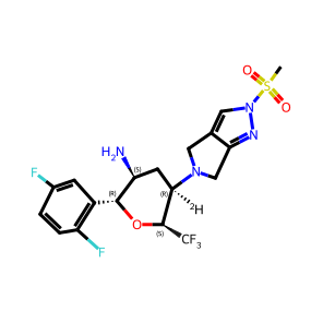 [2H][C@@]1(N2Cc3cn(S(C)(=O)=O)nc3C2)C[C@H](N)[C@@H](c2cc(F)ccc2F)O[C@@H]1C(F)(F)F